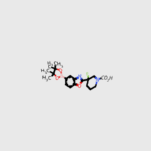 CC1(C)OB(c2ccc3oc(C4(F)CCCN(C(=O)O)C4)nc3c2)OC1(C)C